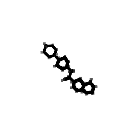 O=C(Nc1ccc(N2CCOCC2)cc1)c1ccc2cccnc2c1